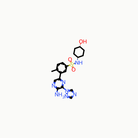 Cc1ccc(S(=O)(=O)N[C@H]2CC[C@@H](O)CC2)cc1-c1cnc(N)c(-n2cncn2)n1